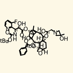 CC(=O)O[C@@]12CO[C@@H]1CC[C@@]1(C)[C@@H]3O[C@H](CN4CC(C)(O)C4)O[C@@H]3C3=C(C)[C@@H](OC(=O)[C@H](O)[C@@H](NC(=O)OC(C)(C)C)c4ncccc4F)C[C@@](O)([C@@H](OC(=O)c4ccccc4)[C@@H]12)C3(C)C